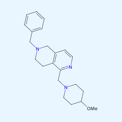 COC1CCN(Cc2nccc3c2CCN(Cc2ccccc2)C3)CC1